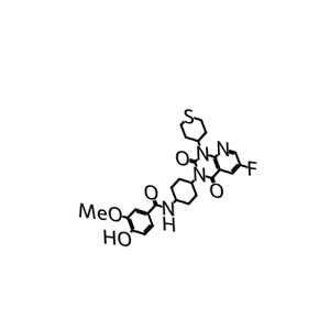 COc1cc(C(=O)NC2CCC(n3c(=O)c4cc(F)cnc4n(C4CCSCC4)c3=O)CC2)ccc1O